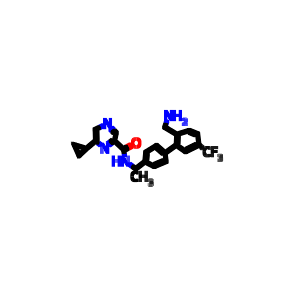 C[C@@H](NC(=O)c1cncc(C2CC2)n1)c1ccc(-c2cc(C(F)(F)F)ccc2CN)cc1